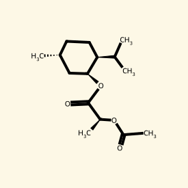 CC(=O)O[C@@H](C)C(=O)O[C@H]1C[C@H](C)CC[C@H]1C(C)C